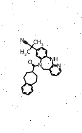 CC(C)(C#N)c1ccc2c(c1)N(C(=O)C1CCc3ccccc3CC1)Cc1cccnc1N2